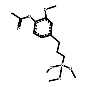 COc1cc(CCC[Si](OC)(OC)OC)ccc1OC(C)=O